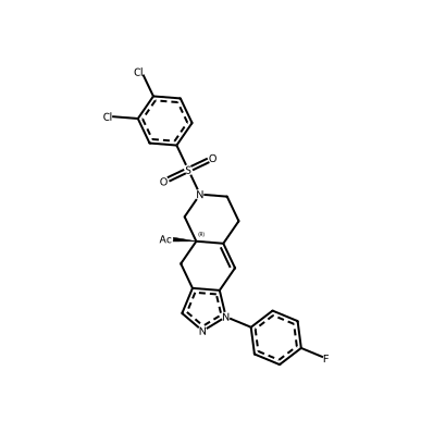 CC(=O)[C@]12Cc3cnn(-c4ccc(F)cc4)c3C=C1CCN(S(=O)(=O)c1ccc(Cl)c(Cl)c1)C2